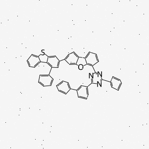 c1ccc(-c2cccc(-c3nc(-c4ccccc4)nc(-c4cccc5c4oc4cc(-c6cc(-c7ccccc7)c7c(c6)sc6ccccc67)ccc45)n3)c2)cc1